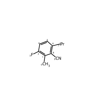 Cc1c(F)ccc(C(C)C)c1C#N